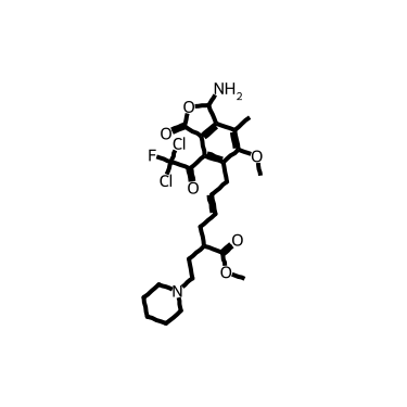 COC(=O)C(CC=CCc1c(OC)c(C)c2c(c1C(=O)C(F)(Cl)Cl)C(=O)OC2N)CCN1CCCCC1